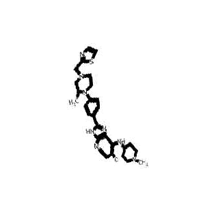 CC1CN(Cc2nccs2)CCN1c1ccc(-c2nc3c(NC4CCN(C)CC4)c(Cl)cnc3[nH]2)cc1